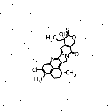 CC[C@@]1(O)C(=S)OCc2c1cc1n(c2=O)Cc2c-1nc1cc(Cl)c(C)c3c1c2[C@H](C)CC3